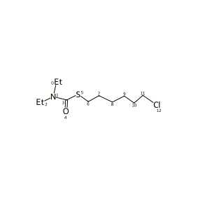 CCN(CC)C(=O)SCCCCCCCl